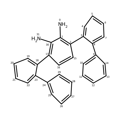 Nc1c(-c2ccccc2-c2ccccc2)ccc(-c2ccccc2-c2ccccc2)c1N